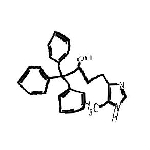 Cc1[nH]cnc1CCC(O)C(c1ccccc1)(c1ccccc1)c1ccccc1